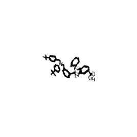 CC(C)(C)c1ccc(CN(Cc2cccc(-c3nc4cc(C(=O)O)ccc4n3C3CCCCC3)c2)c2ccc(C(C)(C)C)cc2)cc1